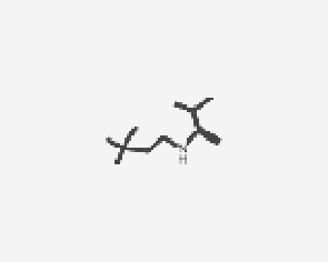 C=C(NCCC(C)(C)C)C(C)C